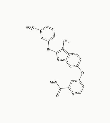 CNC(=O)c1cc(Oc2ccc3c(c2)nc(Nc2cccc(C(=O)O)c2)n3C)ccn1